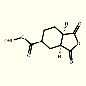 O=COC(=O)[C@H]1CC[C@H]2C(=O)OC(=O)[C@H]2C1